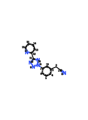 N#CCc1cccc(-n2nnc(-c3ccccn3)n2)c1